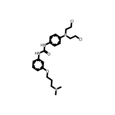 CN(C)CCCOc1cccc(NC(=O)Nc2ccc(N(CCCl)CCCl)cc2)c1